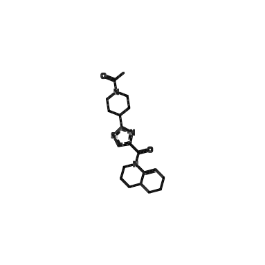 CC(=O)N1CCC(c2nc(C(=O)N3CCCC4CCCC=C43)cs2)CC1